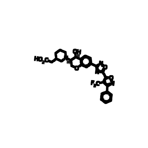 O=C(O)CC1CCCN([C@@H]2COc3cc(-c4noc(-c5onc(-c6ccccc6)c5C(F)(F)F)n4)ccc3[C@@H]2O)C1